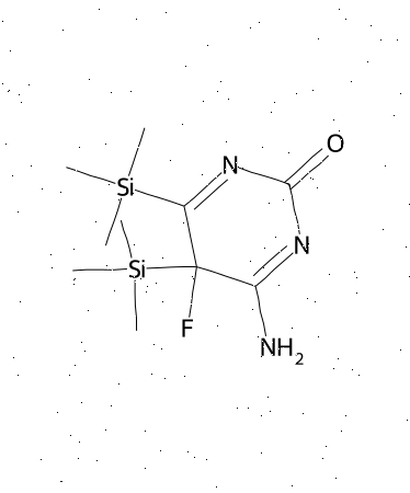 C[Si](C)(C)C1=NC(=O)N=C(N)C1(F)[Si](C)(C)C